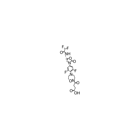 O=C(O)CCC(=O)N1CCN(c2c(F)cc(N3C[C@H](CNC(=O)C(F)F)OC3=O)cc2F)CCO1